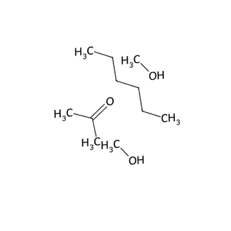 CC(C)=O.CCCCCC.CO.CO